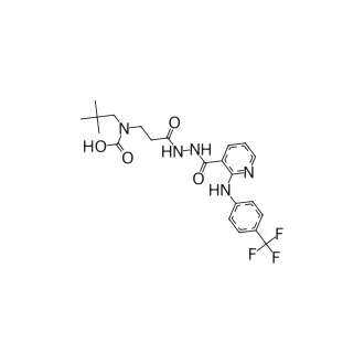 CC(C)(C)CN(CCC(=O)NNC(=O)c1cccnc1Nc1ccc(C(F)(F)F)cc1)C(=O)O